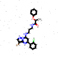 CC(Oc1ccccc1)C(=O)NCCCNc1cc(-c2ccccc2Cl)nc2c(Br)cnn12